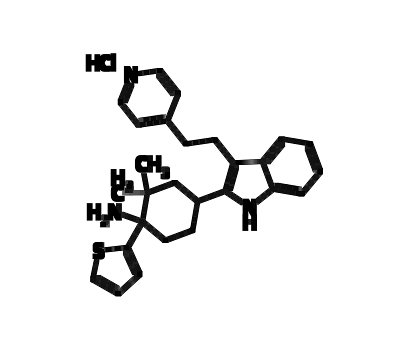 CC1(C)CC(c2[nH]c3ccccc3c2CCc2ccncc2)CCC1(N)c1cccs1.Cl